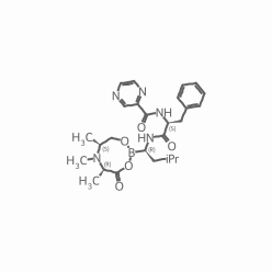 CC(C)C[C@H](NC(=O)[C@H](Cc1ccccc1)NC(=O)c1cnccn1)B1OC[C@H](C)N(C)[C@H](C)C(=O)O1